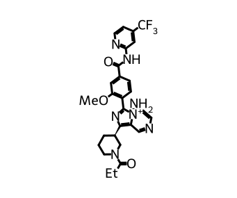 CCC(=O)N1CCC[C@@H](C2=C3C=NC=C[N+]3(N)C(c3ccc(C(=O)Nc4cc(C(F)(F)F)ccn4)cc3OC)=N2)C1